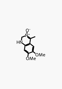 COc1cc2c(cc1OC)C(C)=[N+]([O-])CN2